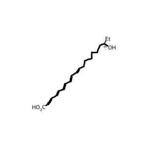 CC[C@@H](O)CCCCCCC=CC=CC=CC=CC=CC(=O)O